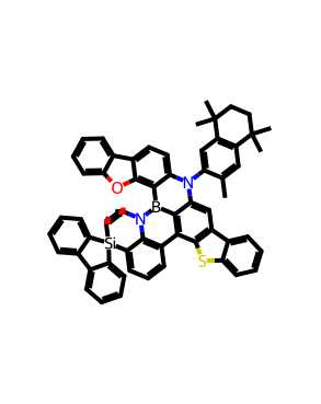 Cc1cc2c(cc1N1c3cc4c(sc5ccccc54)c4c3B(c3c1ccc1c3oc3ccccc31)N1c3ccccc3[Si]3(c5ccccc5-c5ccccc53)c3cccc-4c31)C(C)(C)CCC2(C)C